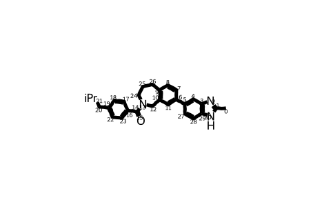 Cc1nc2cc(-c3ccc4c(c3)CN(C(=O)c3ccc(CC(C)C)cc3)CCC4)ccc2[nH]1